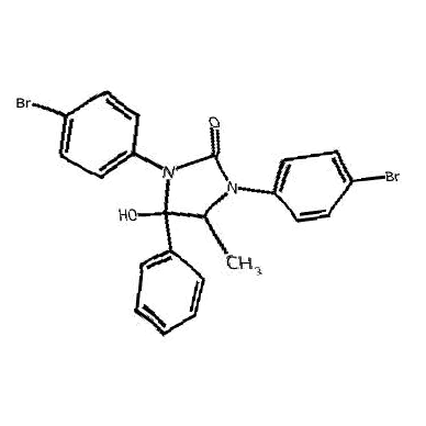 CC1N(c2ccc(Br)cc2)C(=O)N(c2ccc(Br)cc2)C1(O)c1ccccc1